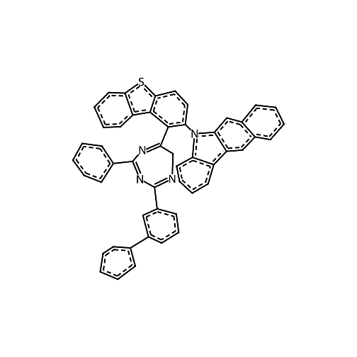 c1ccc(C2=NC(c3cccc(-c4ccccc4)c3)=NCC(c3c(-n4c5ccccc5c5cc6ccccc6cc54)ccc4sc5ccccc5c34)=N2)cc1